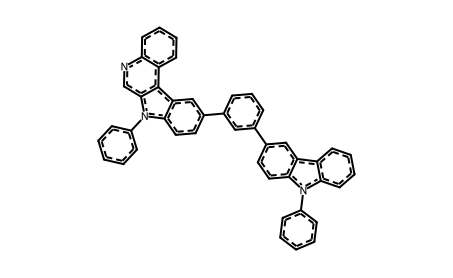 c1ccc(-n2c3ccccc3c3cc(-c4cccc(-c5ccc6c(c5)c5c7ccccc7ncc5n6-c5ccccc5)c4)ccc32)cc1